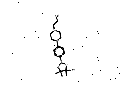 CCCC1(C)OB(c2ccc(N3CCN(CCC#N)CC3)cc2)OC1(C)C